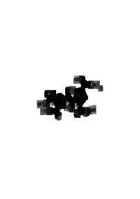 CC(O)[C@@H]1C[C@H](C(O)C(O)[C@@H]2C[C@H](C(=O)O)[C@H](C(C)O)C2)[C@H](C(=O)O)C1